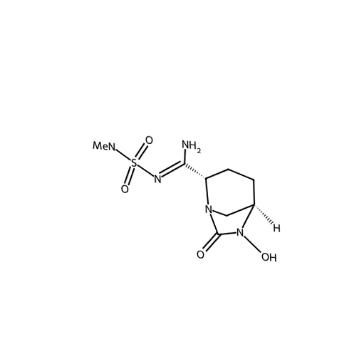 CNS(=O)(=O)N=C(N)[C@@H]1CC[C@@H]2CN1C(=O)N2O